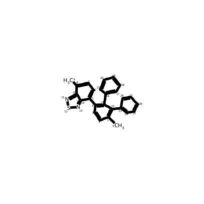 Cc1ccc(-c2ccc(C)c3nsnc23)c(-c2ccccc2)c1-c1ccccc1